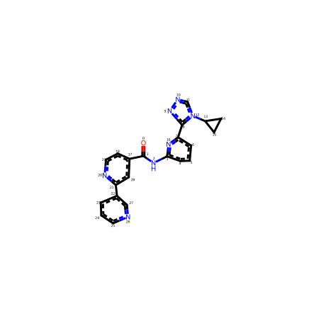 O=C(Nc1cccc(-c2nncn2C2CC2)n1)c1ccnc(-c2cccnc2)c1